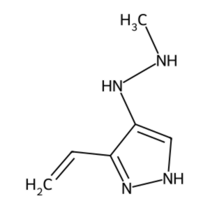 C=Cc1n[nH]cc1NNC